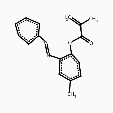 C=C(C)C(=O)Oc1ccc(C)cc1N=Nc1ccccc1